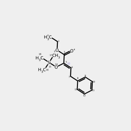 CCOC(=O)/C(=C/Cc1ccccc1)O[Si](C)(C)C